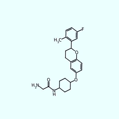 Cc1ccc(F)cc1C1CCc2cc(OC3CCC(NC(=O)CN)CC3)ccc2O1